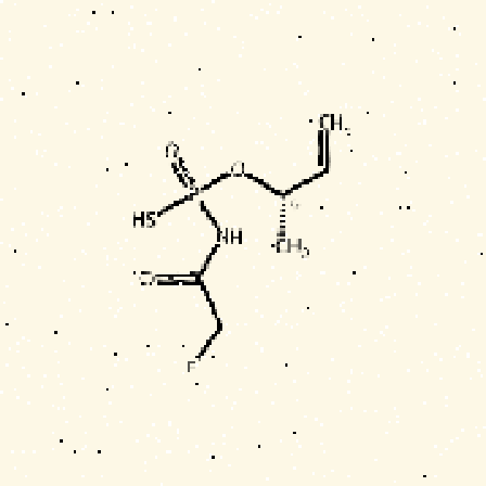 C=C[C@H](C)OP(=O)(S)NC(=O)CF